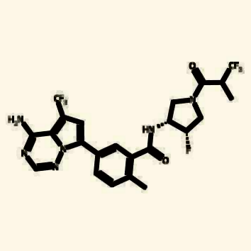 Cc1ccc(-c2cc(C(F)(F)F)c3c(N)ncnn23)cc1C(=O)N[C@@H]1CN(C(=O)C(C)C(F)(F)F)C[C@@H]1F